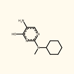 CN(c1ncc(N)c(O)n1)C1CCCCC1